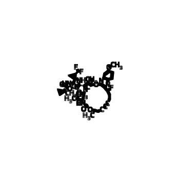 COc1ccc2nc3c(nc2c1)O[C@H]1CN(C(=O)[C@H](C(C)(C)C)NC(=O)O[C@H](C)CCCCCCC3F)[C@H](C(=O)N[C@]2(C(=O)NS(=O)(=O)C3(C)CC3)C[C@H]2C(F)F)[C@@H]1C